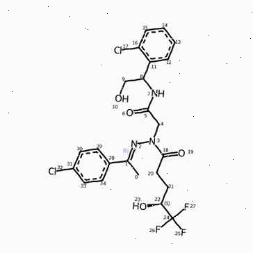 C/C(=N\N(CC(=O)NC(CO)c1ccccc1Cl)C(=O)CC[C@H](O)C(F)(F)F)c1ccc(Cl)cc1